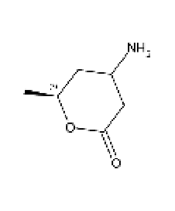 C[C@H]1CC(N)CC(=O)O1